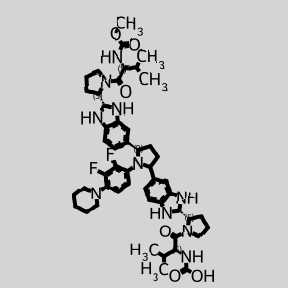 COC(=O)N[C@H](C(=O)N1CCC[C@H]1C1Nc2ccc([C@H]3CCC(c4ccc5c(c4)NC([C@@H]4CCCN4C(=O)[C@@H](NC(=O)O)C(C)C)N5)N3c3ccc(N4CCCCC4)c(F)c3F)cc2N1)C(C)C